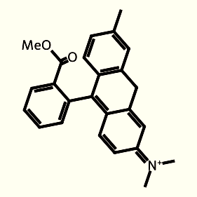 COC(=O)c1ccccc1C1=C2C=CC(=[N+](C)C)C=C2Cc2cc(C)ccc21